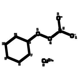 [Cu+2].[O-]B([O-])OOC1CCCCC1